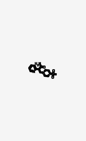 CS(=O)(=O)N1CCN(CC(C(N)=O)c2ccccn2)CC1